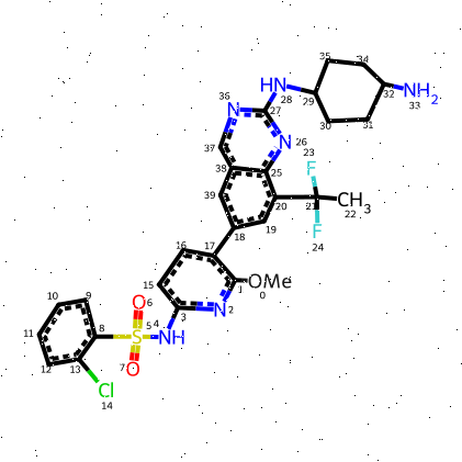 COc1nc(NS(=O)(=O)c2ccccc2Cl)ccc1-c1cc(C(C)(F)F)c2nc(NC3CCC(N)CC3)ncc2c1